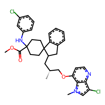 COC(=O)C1(Nc2cccc(Cl)c2)CCC2(CC1)c1ccccc1CC2C[C@@H](C)COc1ccnc2c(Cl)cn(C)c12